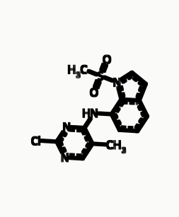 Cc1cnc(Cl)nc1Nc1cccc2ccn(S(C)(=O)=O)c12